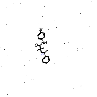 C/C(=C\C(C)(C)C(=O)Nc1ccc(Br)cc1)c1ccccc1